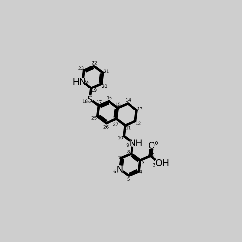 O=C(O)c1ccncc1NCC1CCCc2cc(SC3C=CC=CN3)ccc21